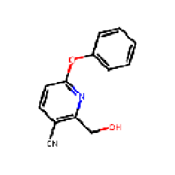 N#Cc1ccc(Oc2ccccc2)nc1CO